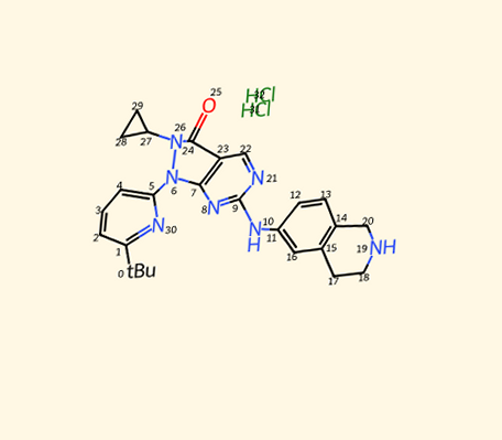 CC(C)(C)c1cccc(-n2c3nc(Nc4ccc5c(c4)CCNC5)ncc3c(=O)n2C2CC2)n1.Cl.Cl